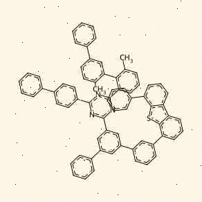 Cc1ccc(-c2ccccc2)cc1-c1c(C)cccc1-c1nc(-c2ccc(-c3ccccc3)cc2)nc(-c2cc(-c3ccccc3)cc(-c3cccc(-c4cccc5c4sc4c(-c6ccccc6)cccc45)c3)c2)n1